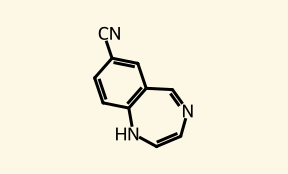 N#Cc1ccc2c(c1)C=NC=CN2